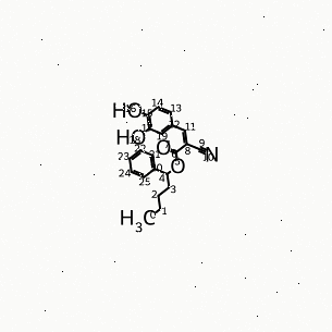 CCCCC(OC(=O)C(C#N)=Cc1ccc(O)c(O)c1)c1ccccc1